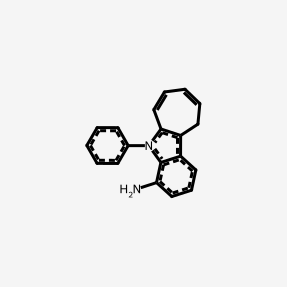 Nc1cccc2c3c(n(-c4ccccc4)c12)C=CC=CC3